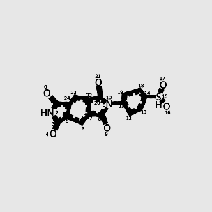 O=c1[nH]c(=O)c2cc3c(=O)n(-c4ccc([SH](=O)=O)cc4)c(=O)c3cc12